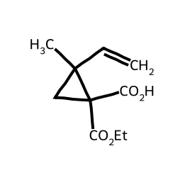 C=CC1(C)CC1(C(=O)O)C(=O)OCC